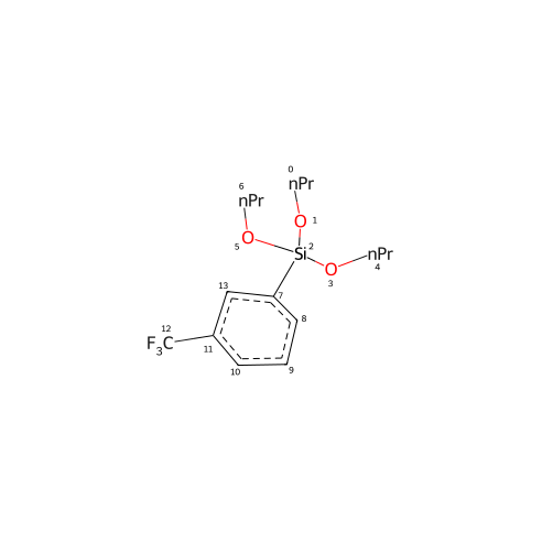 CCCO[Si](OCCC)(OCCC)c1cccc(C(F)(F)F)c1